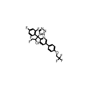 OC(C(F)F)C(c1ccc(-c2ccc(OCC(F)(F)F)cc2)cn1)(c1ccc(F)cc1F)n1cnnn1